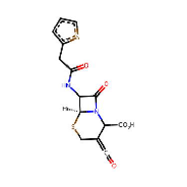 O=C=C1CS[C@H]2C(NC(=O)Cc3cccs3)C(=O)N2C1C(=O)O